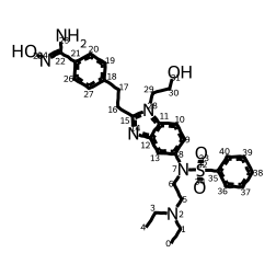 CCN(CC)CCN(c1ccc2c(c1)nc(CCc1ccc(C(N)=NO)cc1)n2CCO)S(=O)(=O)c1ccccc1